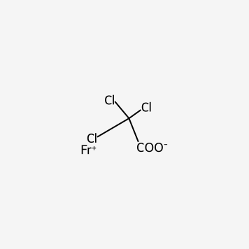 O=C([O-])C(Cl)(Cl)Cl.[Fr+]